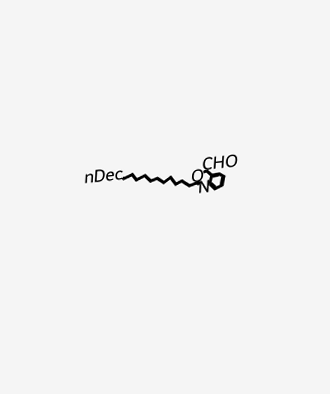 CCCCCCCCCCCCCCCCCCCCCC1=Nc2ccccc2C(C=O)O1